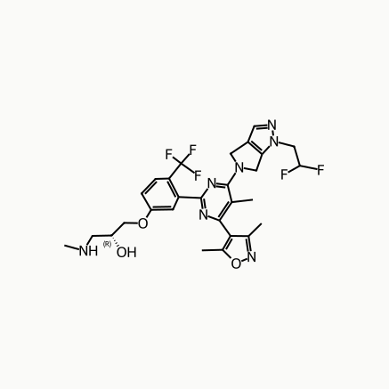 CNC[C@@H](O)COc1ccc(C(F)(F)F)c(-c2nc(-c3c(C)noc3C)c(C)c(N3Cc4cnn(CC(F)F)c4C3)n2)c1